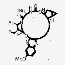 COc1ccc2nc3c(nc2c1)O[C@H]1CN(C(=O)[C@H](C(C)(C)C)NC(=O)O[C@@H]2CC4CC4[C@H]2CCCCC3)[C@H](C(C)=O)[C@@H]1CF